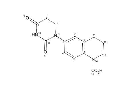 O=C1CCN(c2ccc3c(c2)CCCN3C(=O)O)C(=O)N1